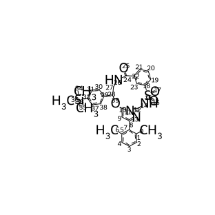 Cc1cccc(C)c1-c1cc2nc(n1)NS(=O)(=O)c1cccc(c1)C(=O)NCC(c1ccc([Si](C)(C)C)cc1)O2